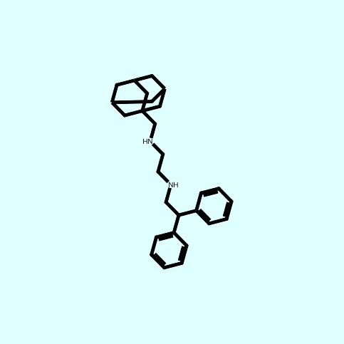 c1ccc(C(CNCCNCC23CC4CC(CC(C4)C2)C3)c2ccccc2)cc1